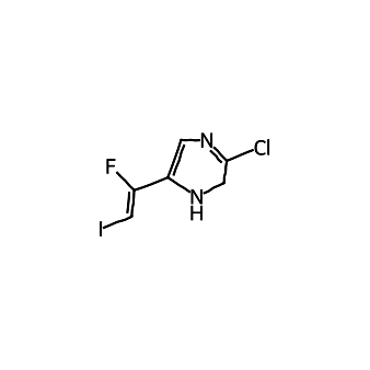 F/C(=C\I)C1=CN=C(Cl)CN1